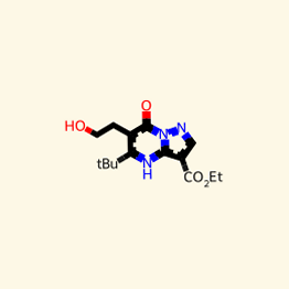 CCOC(=O)c1cnn2c(=O)c(CCO)c(C(C)(C)C)[nH]c12